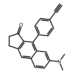 C#Cc1ccc(-c2c3c(cc4ccc(N(C)C)cc24)CCC3=O)cc1